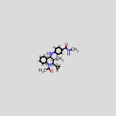 CNC(=O)c1ccc(NC2c3ccccc3N(C(C)=O)C(C3CC3)[C@@H]2C)cc1